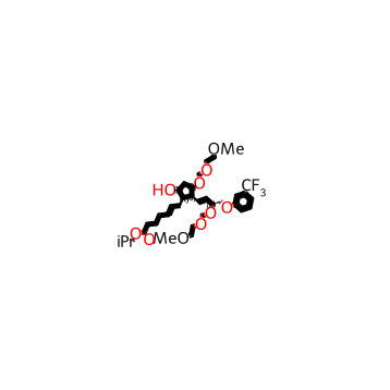 COCCOCO[C@H](C=C[C@H]1[C@@H](CC=CCCCC(=O)OC(C)C)[C@H](O)C[C@H]1OCOCCOC)COc1cccc(C(F)(F)F)c1